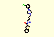 O=C(NCCCCN1CCN(c2cccc(Cl)c2)CC1)C1=Cc2ccccc2SC1